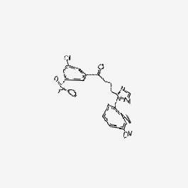 CS(=O)(=O)c1cc(Cl)cc(C(=O)CCCc2ncnn2-c2cccc(C#N)n2)c1